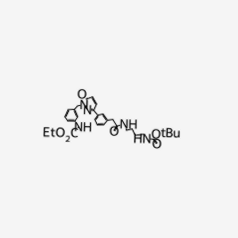 CCOC(=O)Nc1cccc(Cn2nc(-c3cccc(CC(=O)NCCCCNC(=O)OC(C)(C)C)c3)ccc2=O)c1